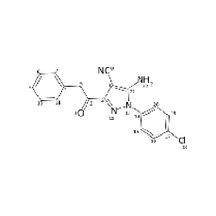 N#Cc1c(C(=O)Cc2ccccc2)nn(-c2ccc(Cl)cc2)c1N